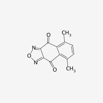 Cc1ccc(C)c2c1C(=O)c1nonc1C2=O